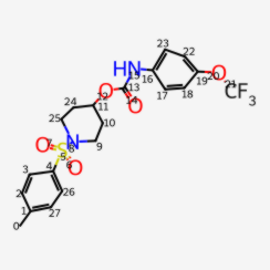 Cc1ccc(S(=O)(=O)N2CCC(OC(=O)Nc3ccc(OC(F)(F)F)cc3)CC2)cc1